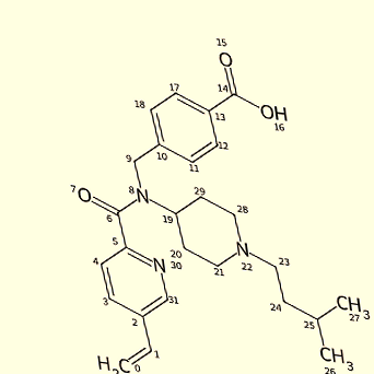 C=Cc1ccc(C(=O)N(Cc2ccc(C(=O)O)cc2)C2CCN(CCC(C)C)CC2)nc1